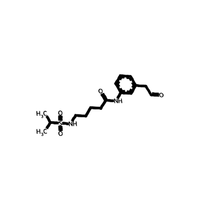 CC(C)S(=O)(=O)NCCCCC(=O)Nc1cccc(CC=O)c1